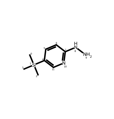 C[Si](C)(C)c1ccc(NN)nc1